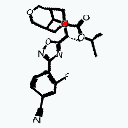 CC(C)OC(=O)N1CC2COCC(C1)C2O[C@H](C)c1nc(-c2ccc(C#N)cc2F)no1